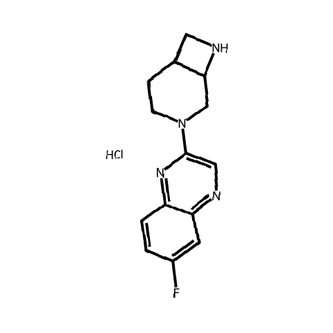 Cl.Fc1ccc2nc(N3CCC4CNC4C3)cnc2c1